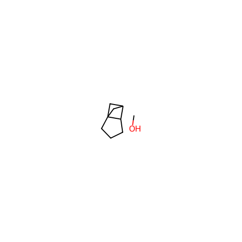 C1CC2C3CC2(C1)C3.CO